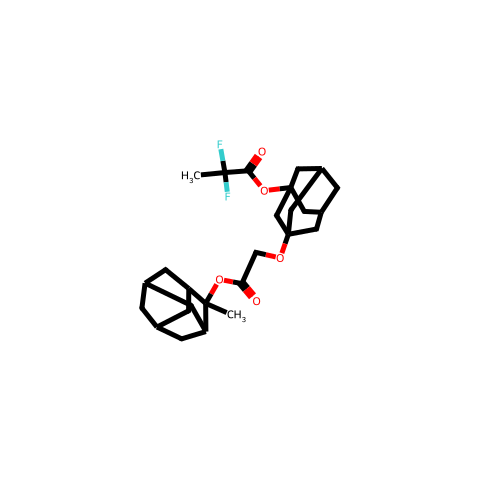 CC(F)(F)C(=O)OC12CC3CC(CC(OCC(=O)OC4(C)C5CC6CC(C5)CC4C6)(C3)C1)C2